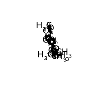 COC(=O)C[C@@H]1COc2cc(B3OC(C)(C)C(C)(C)O3)ccc21